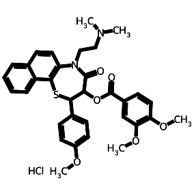 COc1ccc(C2Sc3c(ccc4ccccc34)N(CCN(C)C)C(=O)C2OC(=O)c2ccc(OC)c(OC)c2)cc1.Cl